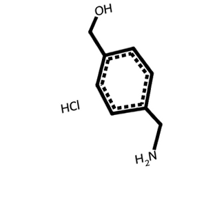 Cl.NCc1ccc(CO)cc1